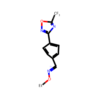 CCO/N=C/c1ccc(-c2noc(C(F)(F)F)n2)cc1